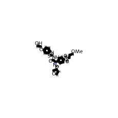 COCCCS(=O)(=O)c1ccc(/C(=N\O[C@@H]2CCOC2)C(=O)Nc2nc3ccc(OCCO)cc3s2)cc1